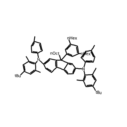 CCCCCCCCC1(c2cc(CCCCCC)cc(CCCCCC)c2)c2cc(N(c3ccc(C)cc3)c3c(C)cc(C(C)(C)C)cc3C)ccc2-c2ccc(N(c3ccc(C)cc3)c3c(C)cc(C(C)(C)C)cc3C)cc21